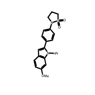 CCCn1c(-c2ccc(N3CCCS3(=O)=O)cc2)cc2ccc(OC)cc21